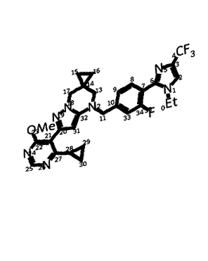 CCn1cc(C(F)(F)F)nc1-c1ccc(CN2CC3(CC3)Cn3nc(-c4c(OC)ncnc4C4CC4)cc32)cc1F